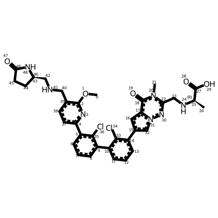 COc1nc(-c2cccc(-c3cccc(-c4cc5c(=O)n(C)c(CN[C@H](C)C(=O)O)nn5c4)c3Cl)c2Cl)ccc1CNC[C@H]1CCC(=O)N1